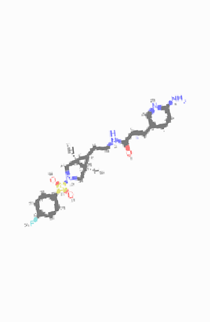 Nc1ccc(/C=C/C(=O)NCCC2[C@H]3CN(S(=O)(=O)c4ccc(F)cc4)C[C@@H]23)cn1